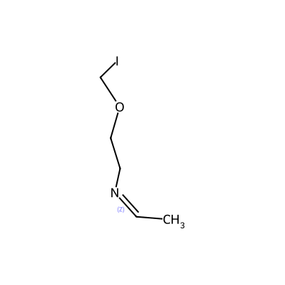 C/C=N\CCOCI